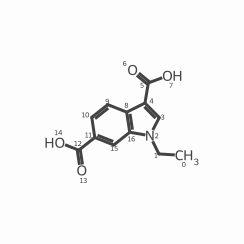 CCn1cc(C(=O)O)c2ccc(C(=O)O)cc21